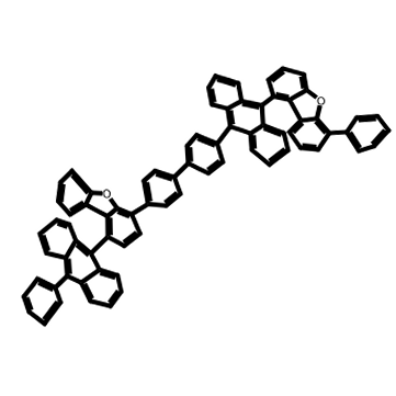 c1ccc(-c2c3ccccc3c(-c3ccc(-c4ccc(-c5ccc(-c6c7ccccc7c(-c7cccc8oc9c(-c%10ccccc%10)cccc9c78)c7ccccc67)cc5)cc4)c4oc5ccccc5c34)c3ccccc23)cc1